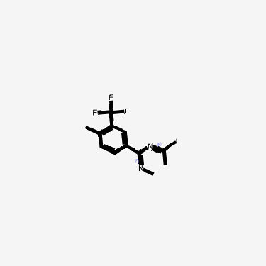 C/N=C(\N=C(/C)I)c1ccc(C)c(C(F)(F)F)c1